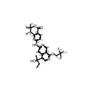 CCC(C)(O)c1cnc(OCC(F)(F)F)c2cnc(Nc3ccc4c(n3)[C@@H](C)C(C)(C)OC4=O)cc12